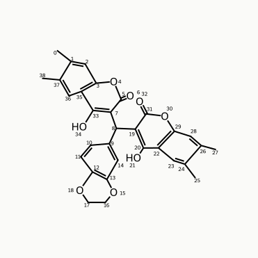 Cc1cc2oc(=O)c(C(c3ccc4c(c3)OCCO4)c3c(O)c4cc(C)c(C)cc4oc3=O)c(O)c2cc1C